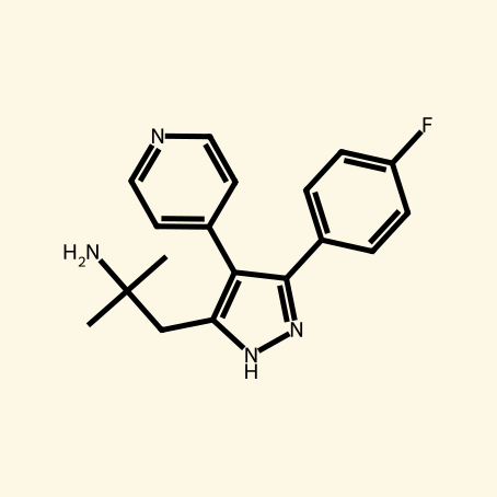 CC(C)(N)Cc1[nH]nc(-c2ccc(F)cc2)c1-c1ccncc1